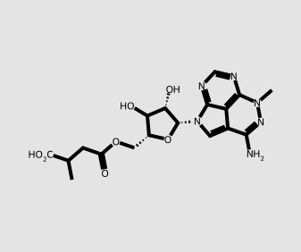 CC(CC(=O)OC[C@H]1O[C@@H](n2cc3c4c(ncnc42)N(C)N=C3N)[C@@H](O)C1O)C(=O)O